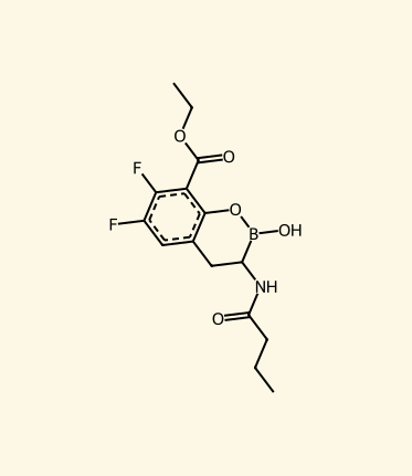 CCCC(=O)NC1Cc2cc(F)c(F)c(C(=O)OCC)c2OB1O